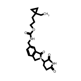 CCC1(CCCOC(=O)NCc2ccc3c(c2)C(=O)N(C2CCC(=O)NC2=O)C3)CC1